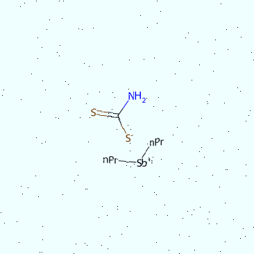 CC[CH2][Sb+][CH2]CC.NC(=S)[S-]